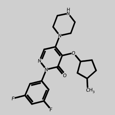 CC1CCC(Oc2c(N3CCNCC3)cnn(-c3cc(F)cc(F)c3)c2=O)C1